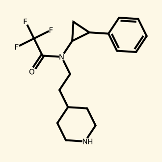 O=C(N(CCC1CCNCC1)C1CC1c1ccccc1)C(F)(F)F